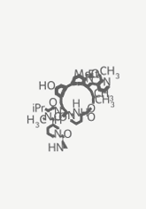 CCn1c(-c2cccnc2[C@H](C)OC)c2c3cc(ccc31)-c1cc(O)cc(c1)C[C@H](NC(=O)C(C(C)C)N(C)C(=O)[C@@H]1CCCN(C(=O)[C@@H]3CN3)C1)C(=O)N1CCC[C@H](N1)C(=O)OCC(C)(C)C2